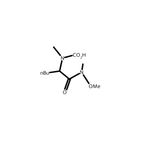 CCCCC(C(=O)N(C)OC)N(C)C(=O)O